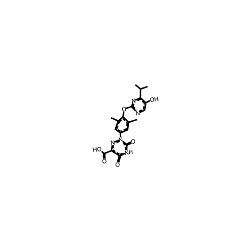 Cc1cc(-n2nc(C(=O)O)c(=O)[nH]c2=O)cc(C)c1Oc1ncc(O)c(C(C)C)n1